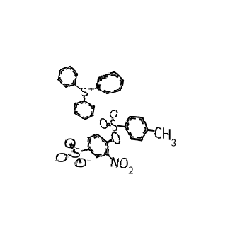 Cc1ccc(S(=O)(=O)Oc2ccc(S(=O)(=O)[O-])cc2[N+](=O)[O-])cc1.c1ccc([S+](c2ccccc2)c2ccccc2)cc1